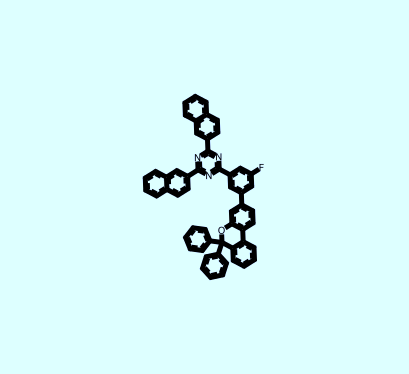 Fc1cc(-c2ccc3c(c2)OC(c2ccccc2)(c2ccccc2)c2ccccc2-3)cc(-c2nc(-c3ccc4ccccc4c3)nc(-c3ccc4ccccc4c3)n2)c1